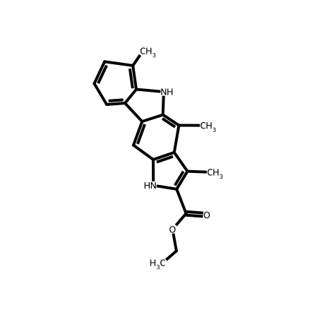 CCOC(=O)c1[nH]c2cc3c([nH]c4c(C)cccc43)c(C)c2c1C